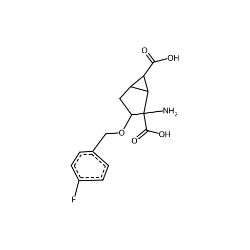 NC1(C(=O)O)C(OCc2ccc(F)cc2)CC2C(C(=O)O)C21